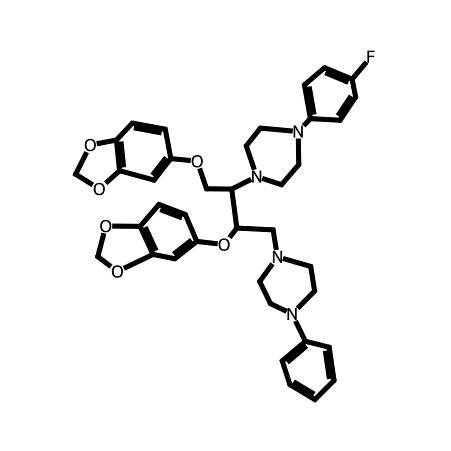 Fc1ccc(N2CCN(C(COc3ccc4c(c3)OCO4)C(CN3CCN(c4ccccc4)CC3)Oc3ccc4c(c3)OCO4)CC2)cc1